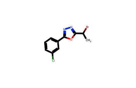 CC(Br)c1nnc(-c2cccc(Cl)c2)o1